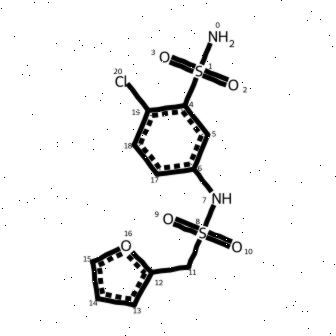 NS(=O)(=O)c1cc(NS(=O)(=O)Cc2ccco2)ccc1Cl